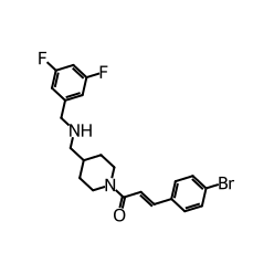 O=C(/C=C/c1ccc(Br)cc1)N1CCC(CNCc2cc(F)cc(F)c2)CC1